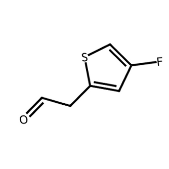 O=CCc1cc(F)cs1